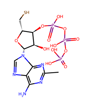 Cc1nc(N)c2ncn([C@@H]3O[C@H](CS)[C@@H](OP(=O)(O)OP(=O)(O)OP(=O)(O)O)[C@H]3O)c2n1